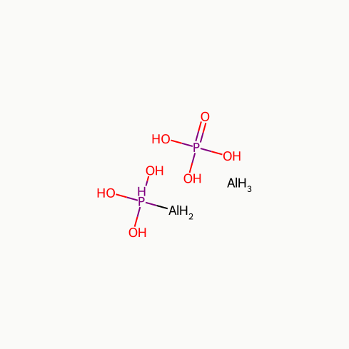 O=P(O)(O)O.O[PH](O)(O)[AlH2].[AlH3]